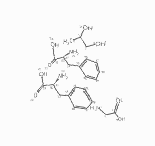 CC(O)CO.NCC(=O)O.N[C@@H](Cc1ccccc1)C(=O)O.N[C@@H](Cc1ccccc1)C(=O)O